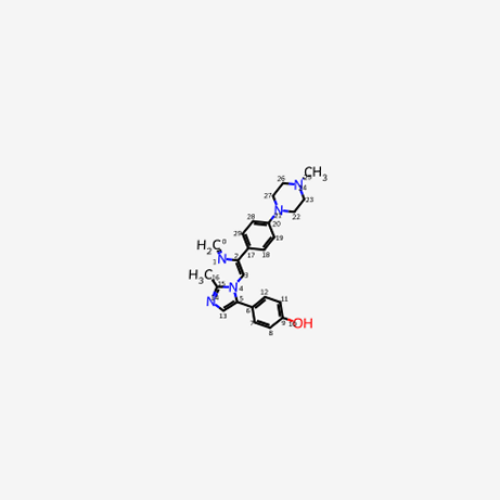 C=N/C(=C\n1c(-c2ccc(O)cc2)cnc1C)c1ccc(N2CCN(C)CC2)cc1